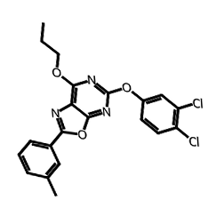 CCCOc1nc(Oc2ccc(Cl)c(Cl)c2)nc2oc(-c3cccc(C)c3)nc12